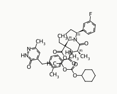 CCC(CC)(C(=O)OC(C)OC(=O)OC1CCCCC1)[C@H]1CC[C@@H](c2cccc(F)c2)N1C(=O)[C@@H](C)NC(=O)c1ccc(Cc2cc(C)n[nH]c2=O)c(C)c1